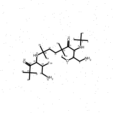 COC(CN)C(NC(C)(C)C)C(=O)C(C)(C)CCC(C)(C)NC(C(=O)C(C)(C)C)C(F)CN